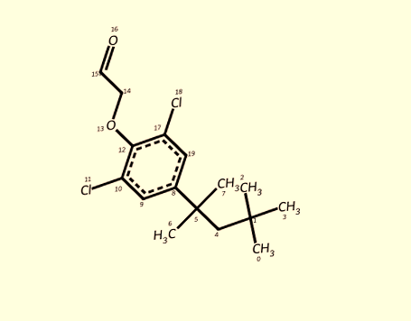 CC(C)(C)CC(C)(C)c1cc(Cl)c(OC[C]=O)c(Cl)c1